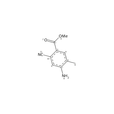 COC(=O)c1cc(C)c(N)cc1C#N